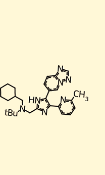 Cc1cccc(-c2nc(CN(CC3CCCCC3)C(C)(C)C)[nH]c2-c2ccc3ncnn3c2)n1